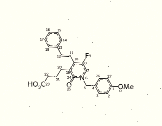 COc1ccc(Cn2cc(F)c(C=Cc3ccccc3)c(CCCC(=O)O)c2=O)cc1